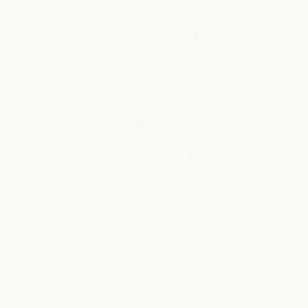 C=CCCCC=CCC(C(=O)O)=C(CC=CCCCC=C)C(=O)O